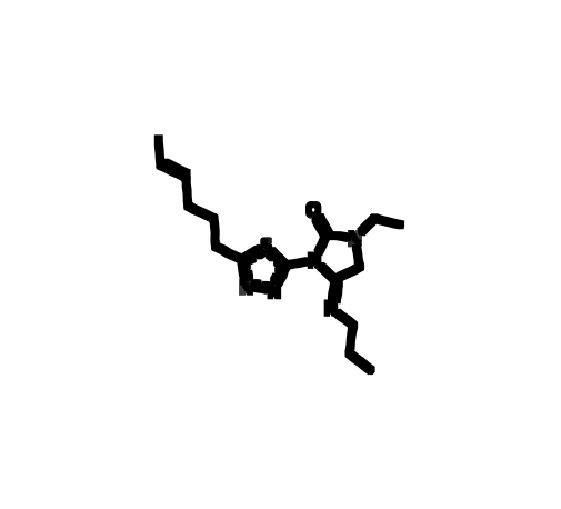 CC=CCCCc1nnc(N2C(=O)N(CC)CC2=NCCC)s1